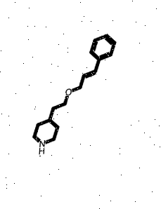 C(=Cc1ccccc1)COCCC1CCNCC1